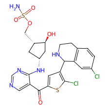 NS(=O)(=O)OC[C@H]1C[C@@H](Nc2ncncc2C(=O)c2cc(C3NCCc4ccc(Cl)cc43)c(Cl)s2)C[C@@H]1O